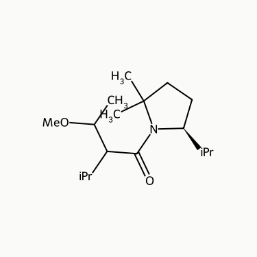 COC(C)C(C(=O)N1[C@H](C(C)C)CCC1(C)C)C(C)C